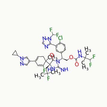 CC(C)(F)C[C@]1(C2(C)CC=C(c3cnn(C4CC4)c3)C=C2F)NC(=N)N([C@H](COC(=O)NC(C)(C)C(F)F)c2ccc(Cl)c(-c3ncnn3C(F)F)c2)C1=O